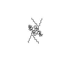 CCCCCCCCC(CCCCCC)CN1C(=O)C2=C(c3ccc(Br)o3)N(CC(CCCCCC)CCCCCCCC)C(=O)C2=C1c1ccc(Br)o1